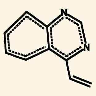 C=Cc1ncnc2ccccc12